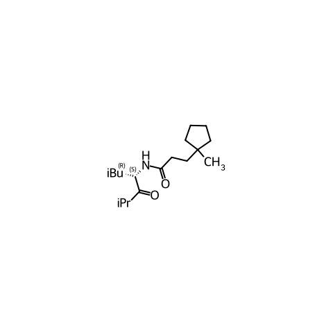 CC[C@@H](C)[C@H](NC(=O)CCC1(C)CCCC1)C(=O)C(C)C